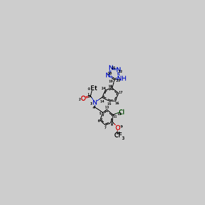 CCC(=O)N(Cc1ccc(OC(F)(F)F)c(Cl)c1)c1cccc(-c2nnn[nH]2)c1